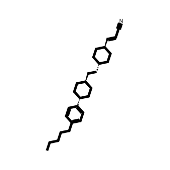 CCCCCc1ccc([C@H]2CC[C@H](CC[C@H]3CC[C@H](/C=C/C#N)CC3)CC2)cc1